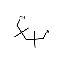 CC(C)(CO)CC(C)(C)CBr